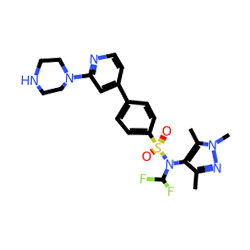 Cc1nn(C)c(C)c1N(C(F)F)S(=O)(=O)c1ccc(-c2ccnc(N3CCNCC3)c2)cc1